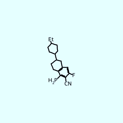 CCC1CCC(C2CCc3c(cc(F)c(C#N)c3P)C2)CC1